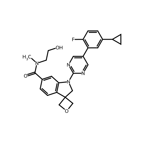 CN(CCO)C(=O)c1ccc2c(c1)N(c1ncc(-c3cc(C4CC4)ccc3F)cn1)CC21COC1